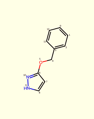 c1ccc(COc2cc[nH]n2)cc1